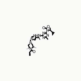 C=CC(=O)N1[C@H](C)CN(Cn2cnc([C@H](C)Nc3nc(C)nc(N4C(=O)OCC4C4CC4)n3)c2)C[C@@H]1C